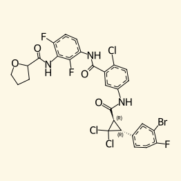 O=C(Nc1ccc(F)c(NC(=O)C2CCCO2)c1F)c1cc(NC(=O)[C@H]2[C@H](c3ccc(F)c(Br)c3)C2(Cl)Cl)ccc1Cl